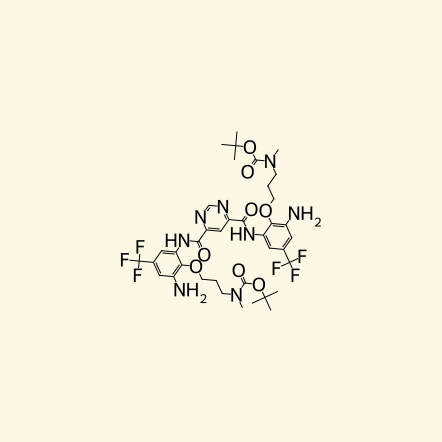 CN(CCCOc1c(N)cc(C(F)(F)F)cc1NC(=O)c1cc(C(=O)Nc2cc(C(F)(F)F)cc(N)c2OCCCN(C)C(=O)OC(C)(C)C)ncn1)C(=O)OC(C)(C)C